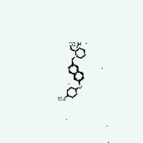 CC(C)(C)C1CCC(Oc2ccc3cc(CN4CCCCC4CC(=O)O)ccc3c2)CC1